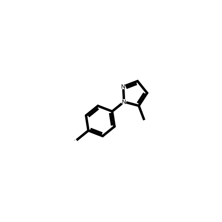 [CH2]c1ccc(-n2nccc2C)cc1